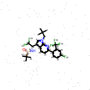 CC(C)(C)Cn1cc([C@H](N[S@@+]([O-])C(C)(C)C)C(F)F)c2ccc(-c3ccc(F)cc3C(F)(F)F)nc21